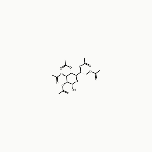 CC(=O)OC[C@@H](OC(C)=O)[C@H]1O[C@H](O)[C@@H](OC(C)=O)[C@@H](OC(C)=O)[C@@H]1OC(C)=O